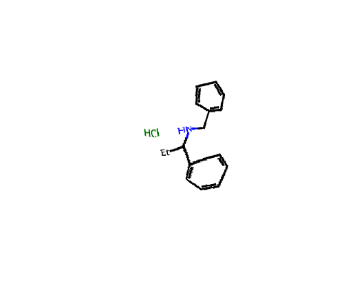 CCC(NCc1ccccc1)c1ccccc1.Cl